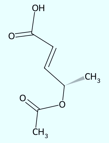 CC(=O)O[C@@H](C)C=CC(=O)O